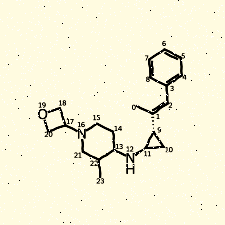 C/C(=C\c1ccccc1)[C@@H]1C[C@H]1NC1CCN(C2COC2)CC1C